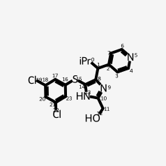 CC(C)C(c1ccncc1)c1nc(CO)[nH]c1Sc1cc(Cl)cc(Cl)c1